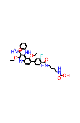 CCOc1nc2ccc(-c3ccc(C(=O)NCCCCNC(=O)O)c(F)c3)c(OCC)c2c(Nc2ccccc2)c1C(=O)NC